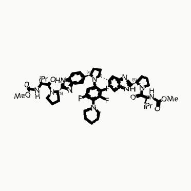 COC(=O)NC(C(=O)N1CCC[C@H]1c1nc2cc([C@H]3CC[C@H](c4ccc5[nH]c([C@@H]6CCCN6C(=O)[C@@H](NC(=O)OC)C(C)C)nc5c4)N3c3cc(F)c(N4CCCCC4)c(F)c3F)ccc2[nH]1)C(C)C